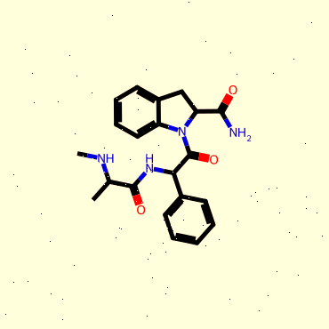 CNC(C)C(=O)NC(C(=O)N1c2ccccc2CC1C(N)=O)c1ccccc1